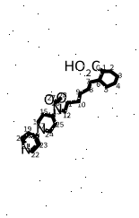 O=C(O)C1CCCCC1CCCCC1CN(C2CCN(c3ccncc3)CC2)C(=O)O1